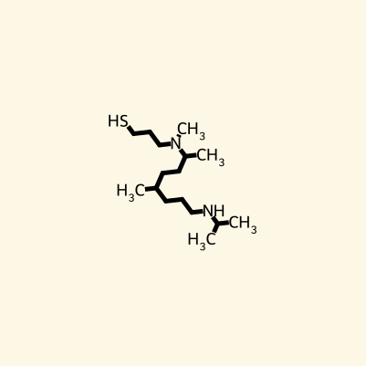 CC(CCCNC(C)C)CCC(C)N(C)CCCS